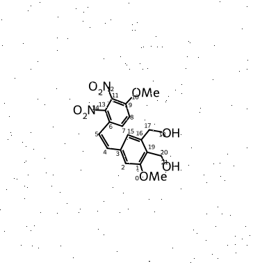 COc1cc(/C=C\c2ccc(OC)c([N+](=O)[O-])c2[N+](=O)[O-])cc(CO)c1CO